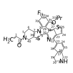 C=CC(=O)N1CCc2nc(-c3nc(-c4ccc5c(c4)CCNC5)c4ccsc4c3-c3ccc(F)cc3OC(C)C)sc2C1